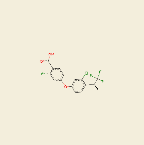 C[C@@H](c1ccc(Oc2ccc(C(=O)O)c(F)c2)cc1Cl)C(F)(F)F